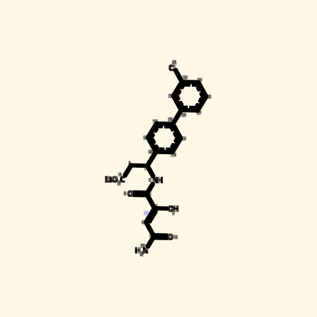 CCOC(=O)CC(NC(=O)/C(O)=C/C(N)=O)c1ccc(-c2cccc(Cl)c2)cc1